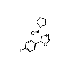 O=C([C@@H]1N=CO[C@H]1c1ccc(I)cc1)N1CCCC1